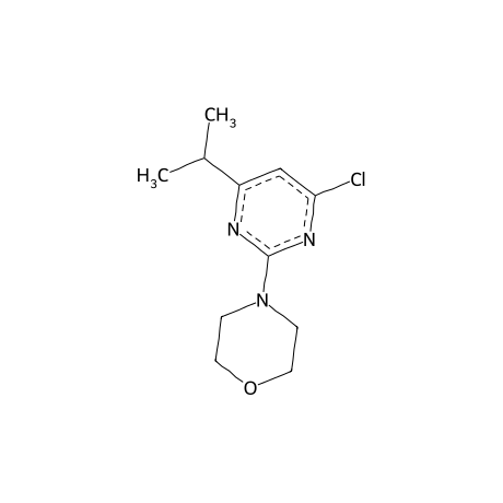 CC(C)c1cc(Cl)nc(N2CCOCC2)n1